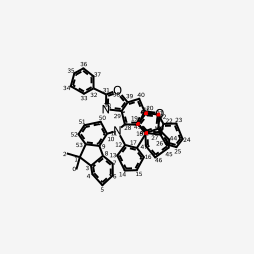 CC1(C)c2ccccc2-c2c(N(c3ccccc3-c3cccc4ccccc34)c3c4nc(-c5ccccc5)oc4cc4oc5ccccc5c34)cccc21